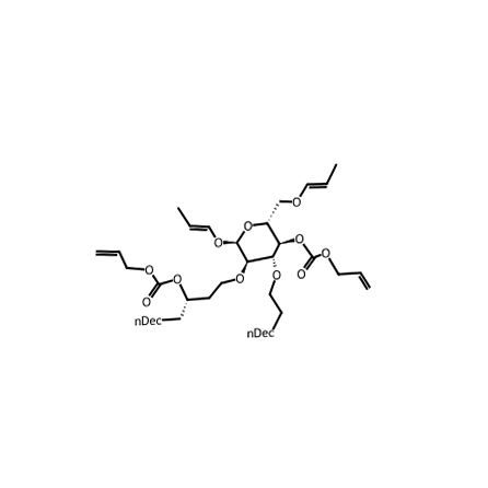 C=CCOC(=O)O[C@@H](CCCCCCCCCCC)CCO[C@H]1[C@@H](OC=CC)O[C@H](COC=CC)[C@@H](OC(=O)OCC=C)[C@@H]1OCCCCCCCCCCCC